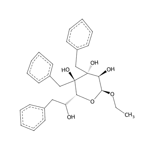 CCO[C@H]1O[C@H](C(O)Cc2ccccc2)[C@](O)(Cc2ccccc2)[C@@](O)(Cc2ccccc2)[C@H]1O